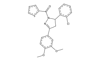 COc1ccc(C2=NN(C(=O)c3cccs3)C(c3ccccc3Cl)C2)cc1OC